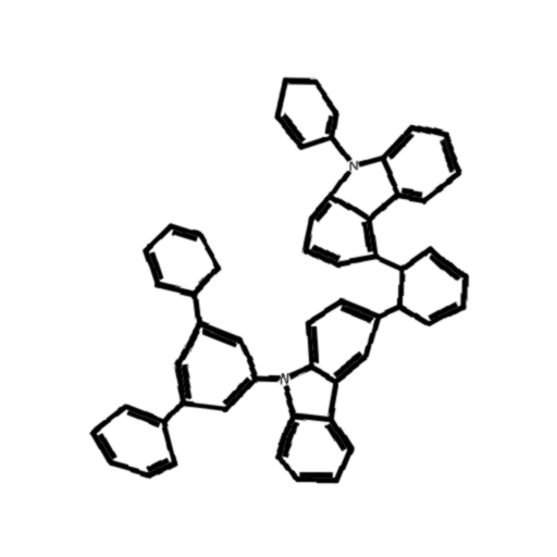 C1=CCC(c2cc(-c3ccccc3)cc(-n3c4ccccc4c4cc(C5C=CC=CC5c5cccc6c5c5ccccc5n6C5=CCCC=C5)ccc43)c2)C=C1